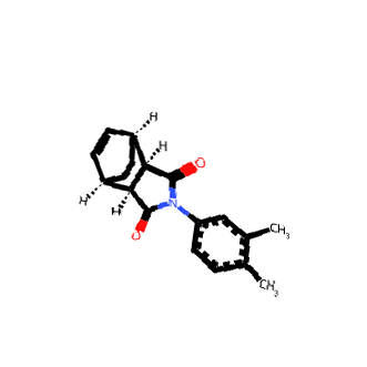 Cc1ccc(N2C(=O)[C@@H]3[C@H](C2=O)[C@@H]2C=C[C@H]3CC2)cc1C